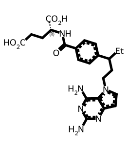 CCC(CCn1ccc2nc(N)nc(N)c21)c1ccc(C(=O)N[C@H](CCC(=O)O)C(=O)O)cc1